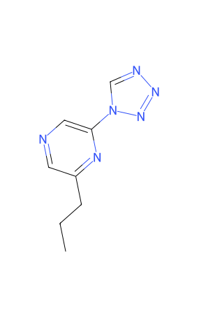 CCCc1cncc(-n2cnnn2)n1